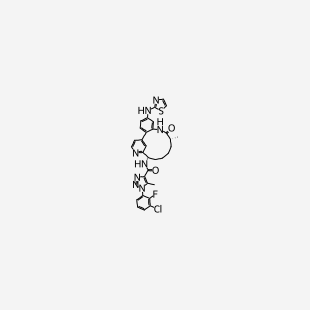 Cc1c(C(=O)N[C@H]2CCCC[C@@H](C)C(=O)Nc3cc(Nc4nccs4)ccc3-c3ccnc2c3)nnn1-c1cccc(Cl)c1F